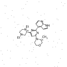 CCN1CCN(CC)[C@@H](c2cc(N3CCOC[C@H]3C)nc(-c3ccnc4[nH]ccc34)n2)C1